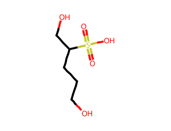 O=S(=O)(O)C(CO)CCCO